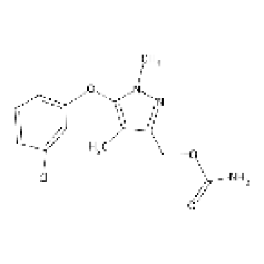 Cc1c(COC(N)=O)nn(C)c1Oc1cccc(Cl)c1